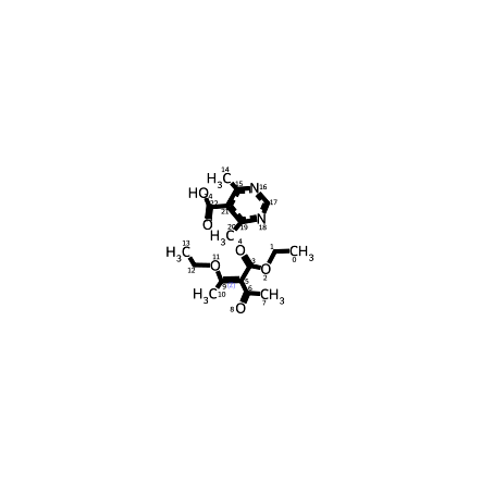 CCOC(=O)/C(C(C)=O)=C(/C)OCC.Cc1ncnc(C)c1C(=O)O